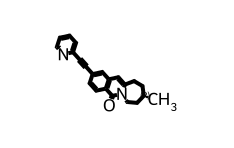 C[C@@H]1CCc2cc3cc(C#Cc4ccccn4)ccc3c(=O)n2CC1